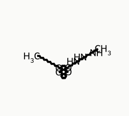 CCCCCCCCCCCCOc1ccc(OCCCCNCCCNCCCCNCCC)c2c1C(=O)c1ccccc1C2=O